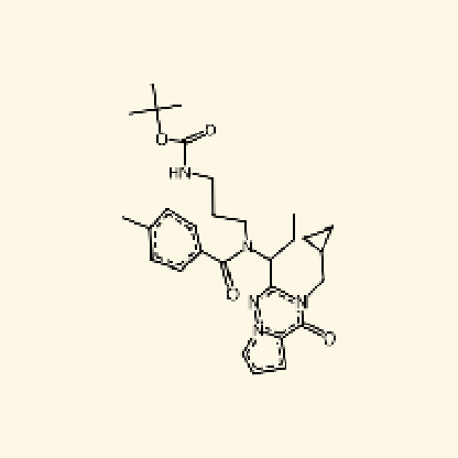 CCC(c1nn2cccc2c(=O)n1CC1CC1)N(CCCNC(=O)OC(C)(C)C)C(=O)c1ccc(C)cc1